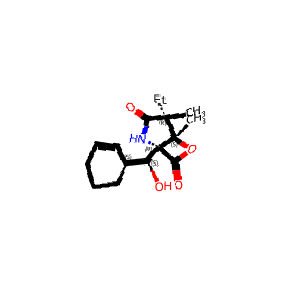 CC[C@@]1(C)C(=O)N[C@@]2([C@@H](O)[C@@H]3C=CCCC3)C(=O)O[C@@]12C